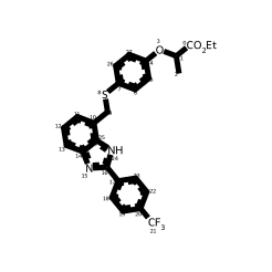 CCOC(=O)C(C)Oc1ccc(SCc2cccc3nc(-c4ccc(C(F)(F)F)cc4)[nH]c23)cc1